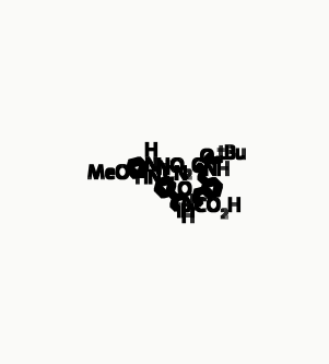 COc1ccc(NC(=NC#N)Nc2ccc(C(CC(C)C)C(=O)NC(Cc3ccccc3CC(NC(=O)CC(C)(C)C)C(=O)O)C(=O)O)cc2)cc1